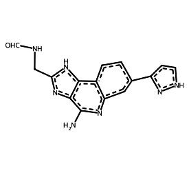 Nc1nc2cc(-c3cc[nH]n3)ccc2c2[nH]c(CNC=O)nc12